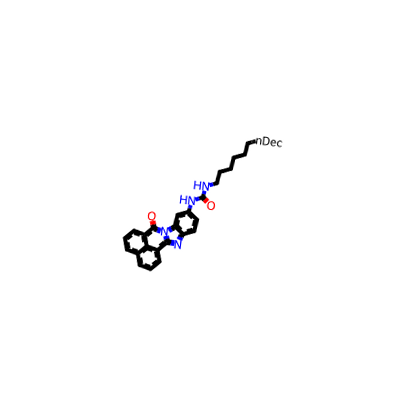 CCCCCCCCCCCCCCCCNC(=O)Nc1ccc2nc3c4cccc5cccc(c(=O)n3c2c1)c54